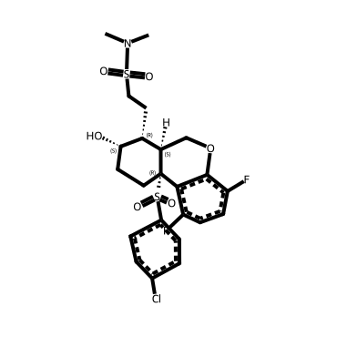 CN(C)S(=O)(=O)CC[C@@H]1[C@H]2COc3c(F)ccc(F)c3[C@@]2(S(=O)(=O)c2ccc(Cl)cc2)CC[C@@H]1O